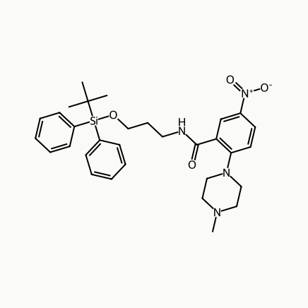 CN1CCN(c2ccc([N+](=O)[O-])cc2C(=O)NCCCO[Si](c2ccccc2)(c2ccccc2)C(C)(C)C)CC1